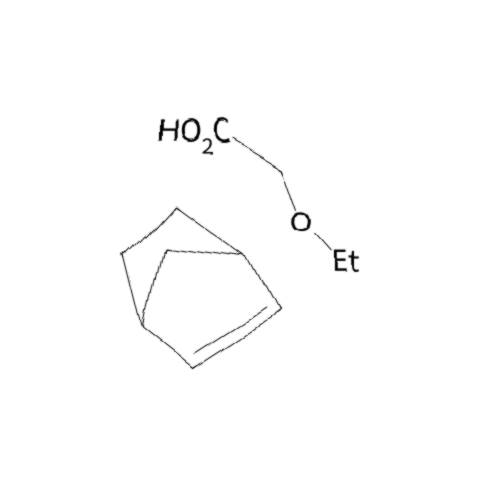 C1=CC2CCC1C2.CCOCC(=O)O